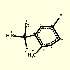 BC(CC)(CC)c1cc(F)ccc1C